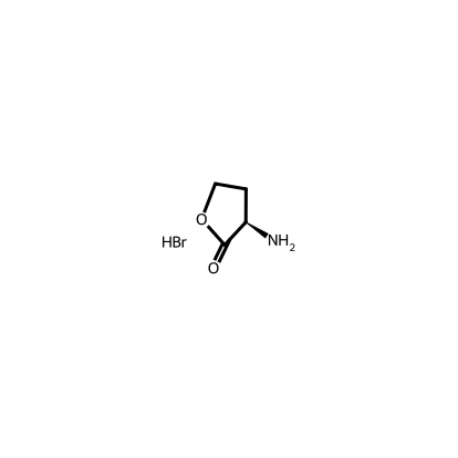 Br.N[C@@H]1CCOC1=O